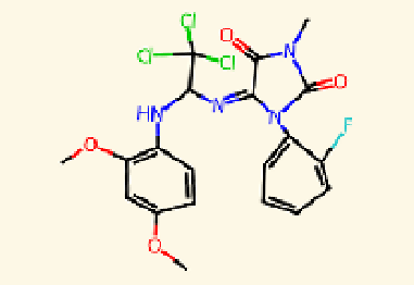 COc1ccc(NC(N=C2C(=O)N(C)C(=O)N2c2ccccc2F)C(Cl)(Cl)Cl)c(OC)c1